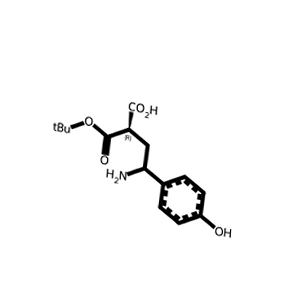 CC(C)(C)OC(=O)[C@H](CC(N)c1ccc(O)cc1)C(=O)O